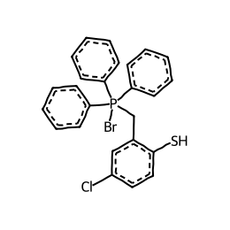 Sc1ccc(Cl)cc1CP(Br)(c1ccccc1)(c1ccccc1)c1ccccc1